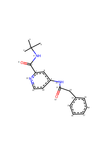 CC(C)(C)NC(=O)c1cc(NC(=O)Cc2ccccc2)ccn1